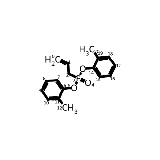 C=CCP(=O)(Oc1ccccc1C)Oc1ccccc1C